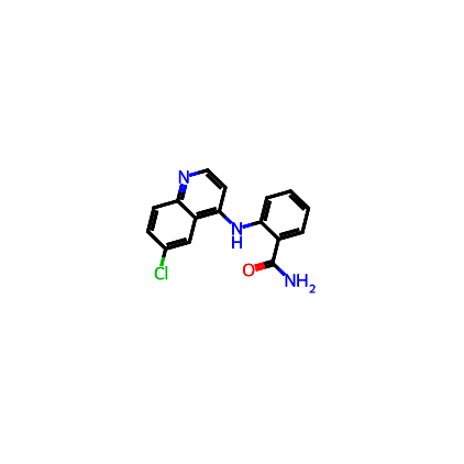 NC(=O)c1ccccc1Nc1ccnc2ccc(Cl)cc12